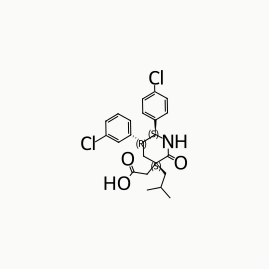 CC(C)C[C@@]1(CC(=O)O)C[C@H](c2cccc(Cl)c2)[C@@H](c2ccc(Cl)cc2)NC1=O